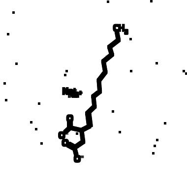 CCCCCCCCCCC=CC(CC(=O)[O-])C(=O)[O-].[Na+].[Na+]